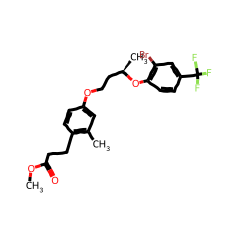 COC(=O)CCc1ccc(OCC[C@@H](C)Oc2ccc(C(F)(F)F)cc2Br)cc1C